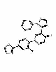 O=c1ccn(-c2ccc(-c3ncco3)cc2F)nc1-c1ccnn1-c1ccccc1